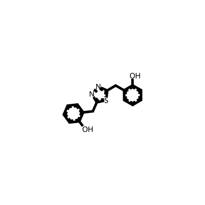 Oc1ccccc1Cc1nnc(Cc2ccccc2O)s1